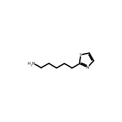 NCCCCCc1nccs1